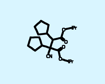 CC(C)OC(=O)C(C1CCCC1)C(C#N)(C(=O)OC(C)C)C1CCCC1